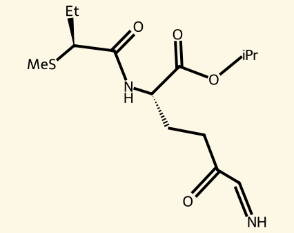 CC[C@H](SC)C(=O)N[C@@H](CCC(=O)C=N)C(=O)OC(C)C